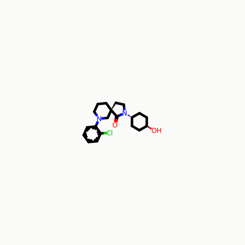 O=C1N([C@H]2CC[C@H](O)CC2)CC[C@@]12CCCN(c1ccccc1Cl)C2